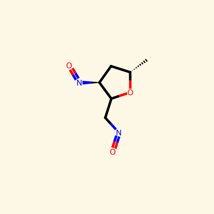 C[C@H]1C[C@H](N=O)C(CN=O)O1